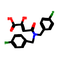 O=C(O)C(O)=CC(=O)N(Cc1ccc(F)cc1)Cc1ccc(F)cc1